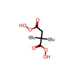 CC(C)(C)C(CC(=O)OO)(C(=O)OO)C(C)(C)C